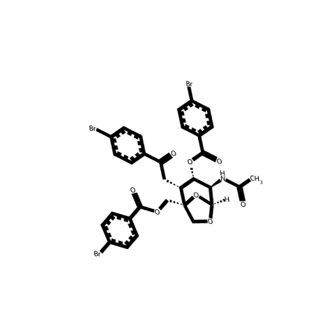 CC(=O)N[C@H]1[C@H]2OC[C@](COC(=O)c3ccc(Br)cc3)(O2)[C@H](CC(=O)c2ccc(Br)cc2)[C@@H]1OC(=O)c1ccc(Br)cc1